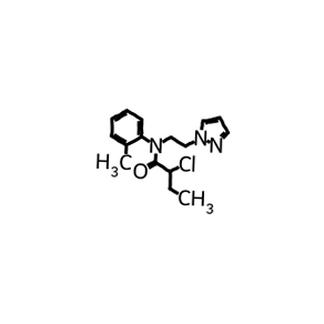 CCC(Cl)C(=O)N(CCn1cccn1)c1ccccc1C